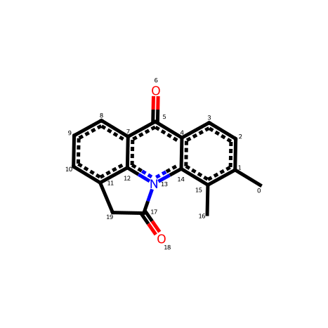 Cc1ccc2c(=O)c3cccc4c3n(c2c1C)C(=O)C4